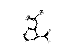 CCCC(=O)c1ccccc1CC(N)C(=O)O